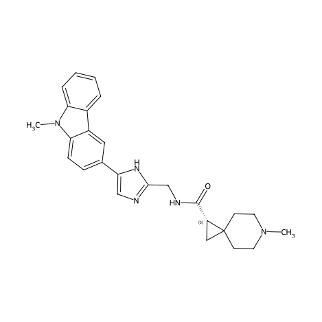 CN1CCC2(CC1)C[C@@H]2C(=O)NCc1ncc(-c2ccc3c(c2)c2ccccc2n3C)[nH]1